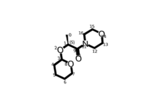 C[C@H](OC1CCCCO1)C(=O)N1CCOCC1